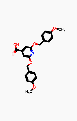 COc1ccc(COc2cc(C(=O)O)cc(OCc3ccc(OC)cc3)n2)cc1